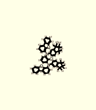 CC1(C)c2ccc(N(c3cccc(N(c4ccc5c(c4)C(C)(C)C(C)(C)C5(C)C)c4cccc5c4oc4ccccc45)c3Cl)c3cccc4c3oc3ccccc34)cc2C(C)(C)C1(C)C